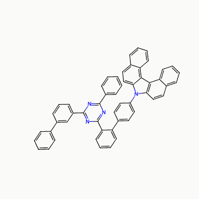 c1ccc(-c2cccc(-c3nc(-c4ccccc4)nc(-c4ccccc4-c4ccc(-n5c6ccc7ccccc7c6c6c7ccccc7ccc65)cc4)n3)c2)cc1